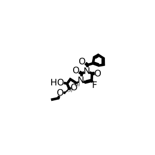 CCOC[C@@H]1O[C@H](n2cc(F)c(=O)n(C(=O)c3ccccc3)c2=O)CC1O